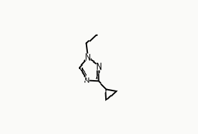 CCn1cnc(C2CC2)n1